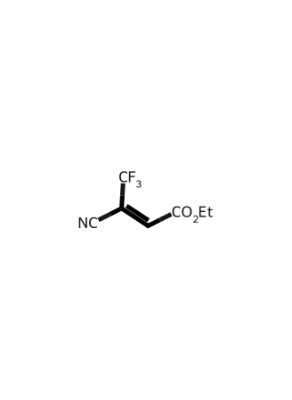 CCOC(=O)C=C(C#N)C(F)(F)F